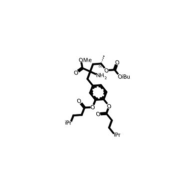 COC(=O)C(N)(Cc1ccc(OC(=O)CCC(C)C)c(OC(=O)CCC(C)C)c1)C[C@H](C)OC(=O)OCC(C)C